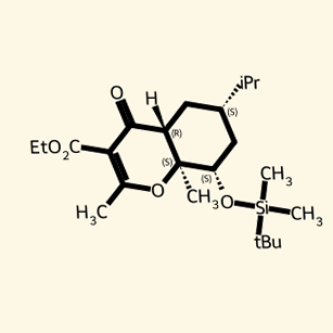 CCOC(=O)C1=C(C)O[C@]2(C)[C@@H](O[Si](C)(C)C(C)(C)C)C[C@@H](C(C)C)C[C@H]2C1=O